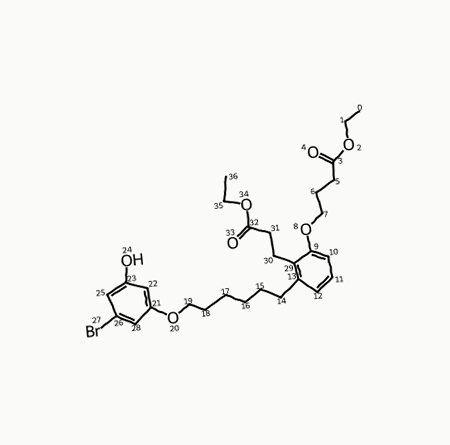 CCOC(=O)CCCOc1cccc(CCCCCCOc2cc(O)cc(Br)c2)c1CCC(=O)OCC